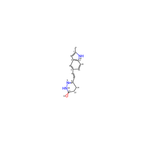 Cc1cc2cc(/C=C/C3=NNC(=O)CC3)ccc2[nH]1